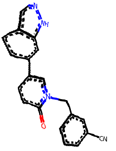 N#Cc1cccc(Cn2cc(-c3ccc4cn[nH]c4c3)ccc2=O)c1